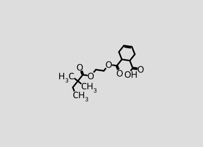 CCC(C)(C)C(=O)OCCOC(=O)C1CC=CCC1C(=O)O